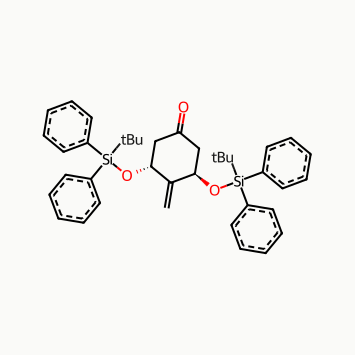 C=C1[C@H](O[Si](c2ccccc2)(c2ccccc2)C(C)(C)C)CC(=O)C[C@H]1O[Si](c1ccccc1)(c1ccccc1)C(C)(C)C